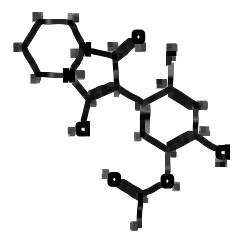 CC(=O)Oc1cc(-c2c(Cl)n3n(c2=O)CCCC3)c(F)cc1Cl